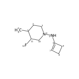 CC1CCN(NC2=CCC2)CC1F